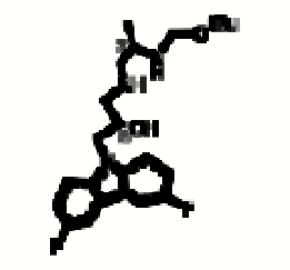 C[C@H](CNC[C@H](O)Cn1c2ccc(F)cc2c2cc(F)ccc21)NCOC(C)(C)C